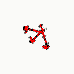 CC(=O)NCCCC[C@H](NC(=O)[C@H](CCCCNC(=O)COCCOCCOCCO[C@@H]1O[C@H](COC(C)=O)[C@H](OC(C)=O)[C@H](OC(C)=O)[C@H]1NC(C)=O)NC(=O)[C@H](CCCCNC(=O)COCCOCCOCCO[C@@H]1O[C@H](COC(C)=O)[C@H](OC(C)=O)[C@H](OC(C)=O)[C@H]1NC(C)=O)NC(=O)COCCOCCOCCO[C@@H]1O[C@H](COC(C)=O)[C@H](OC(C)=O)[C@H](OC(C)=O)[C@H]1NC(C)=O)C(=O)O